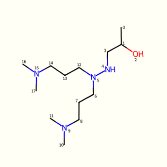 CC(O)CNN(CCCN(C)C)CCCN(C)C